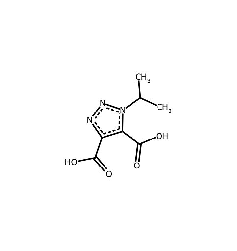 CC(C)n1nnc(C(=O)O)c1C(=O)O